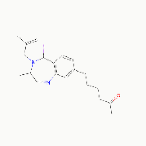 C=C(C)CN1C(C)C=Nc2cc(CCCCC(C)=O)ccc2C1I